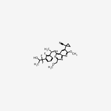 COCc1nc(N[C@H](C)c2cccc(C(F)(F)C(C)O)c2F)c2cc(C3(C#N)CC3)c(OC)nc2n1